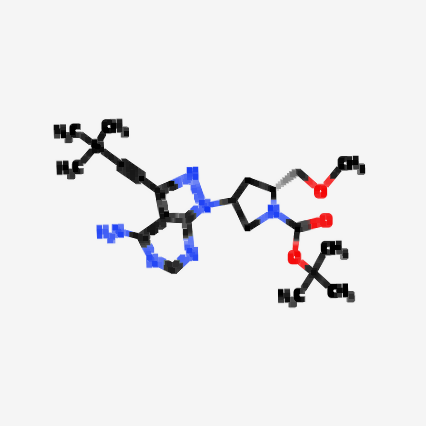 COC[C@H]1CC(n2nc(C#C[Si](C)(C)C)c3c(N)ncnc32)CN1C(=O)OC(C)(C)C